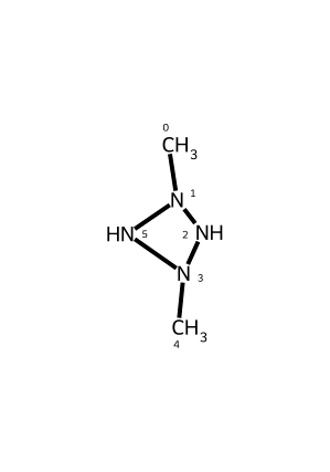 CN1NN(C)N1